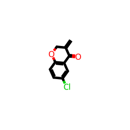 C=C1COc2ccc(Cl)cc2C1=O